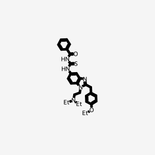 CCOc1ccc(Cc2nc3cc(NC(=S)NC(=O)c4ccccc4)ccc3n2CCN(CC)CC)cc1